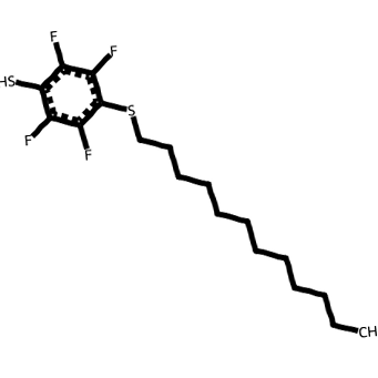 CCCCCCCCCCCCSc1c(F)c(F)c(S)c(F)c1F